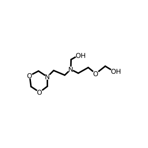 OCOCCN(CO)CCN1COCOC1